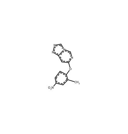 Cc1cc([N+](=O)[O-])ccc1Oc1cc2nncn2cn1